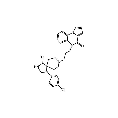 O=C1NCN(c2ccc(Cl)cc2)C12CCN(CCCn1c(=O)c3cccn3c3ccccc31)CC2